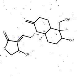 C=C1CCC2C(C)(CO)C(O)CC[C@@]2(C)[C@@H]1C/C=C1/C(=O)OCC1O